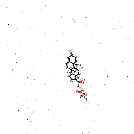 C[C@]12C=CC(=O)C=C1CC[C@@H]1C2=CC[C@]2(C)C(C(=O)COS(C)(=O)=O)=CC[C@@H]12